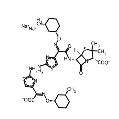 C[C@H]1CCC[C@@H](O/N=C(\C(=O)N[C@H]2C(=O)N3[C@@H]2SC(C)(C)[C@@H]3C(=O)[O-])c2csc(N)n2)C1.C[C@H]1CCC[C@@H](O/N=C(\C(=O)[O-])c2csc(N)n2)C1.[Na+].[Na+]